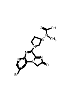 CN(C(=O)O)[C@H]1CCN(C2=Nc3ncc(Br)cc3N3CC(=O)N=C23)C1